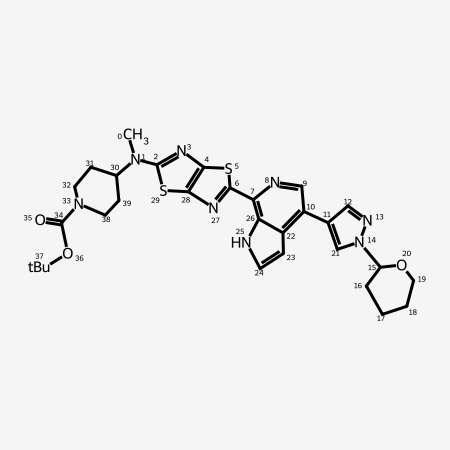 CN(c1nc2sc(-c3ncc(-c4cnn(C5CCCCO5)c4)c4cc[nH]c34)nc2s1)C1CCN(C(=O)OC(C)(C)C)CC1